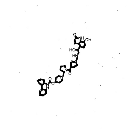 O=C(Nc1ccccc1-c1ccccc1)OC1CCN(CC2CCCN2C(=O)c2ccc(CNCC(O)c3ccc(O)c4[nH]c(=O)ccc34)cc2)CC1